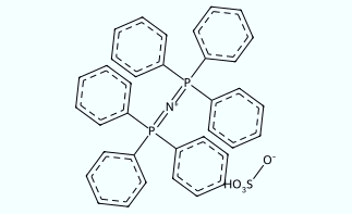 O=S(=O)([O-])O.c1ccc(P(=[N+]=P(c2ccccc2)(c2ccccc2)c2ccccc2)(c2ccccc2)c2ccccc2)cc1